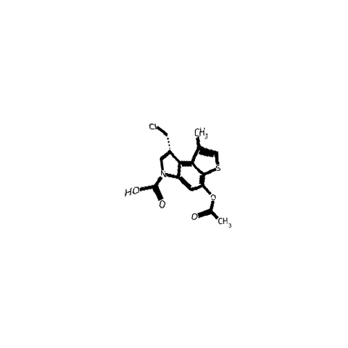 CC(=O)Oc1cc2c(c3c(C)csc13)[C@@H](CCl)CN2C(=O)O